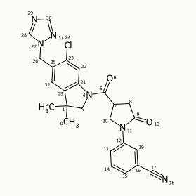 CC1(C)CN(C(=O)C2CC(=O)N(c3cccc(C#N)c3)C2)c2cc(Cl)c(Cn3cncn3)cc21